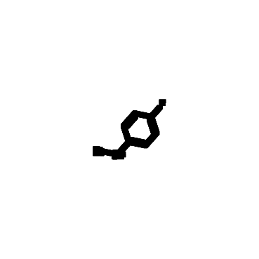 C[CH2][Sn][c]1ccc(F)cc1